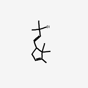 CCC(C)(C)C=CC1CC=C(C)C1(C)C